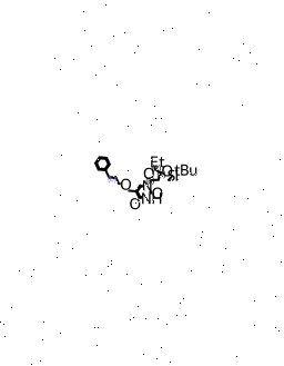 CC[C@H]1O[C@@H](n2cc(COC/C=C/c3ccccc3)c(=O)[nH]c2=O)C[C@H]1O[Si](C)(C)C(C)(C)C